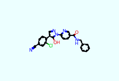 N#Cc1ccc(-c2cnn(-c3ccc(C(=O)NCc4ccccc4)cn3)c2O)c(Cl)c1